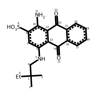 CCC(C)(C)CNc1cc(S(=O)(=O)O)c(N)c2c1C(=O)c1ccccc1C2=O